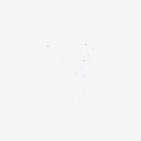 c1cc(-c2nc(-c3ccc4c(ccc5ccccc54)c3)nc(-c3cccc4oc5c(-c6cccc7ccccc67)cccc5c34)n2)cc(-c2cccc3c2oc2c4ccccc4ccc32)c1